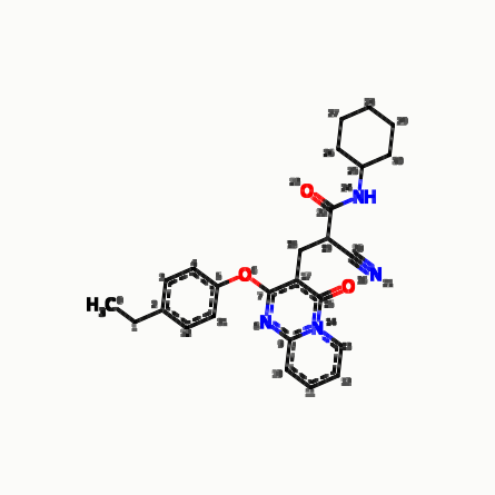 CCc1ccc(Oc2nc3ccccn3c(=O)c2CC(C#N)C(=O)NC2CCCCC2)cc1